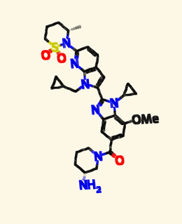 COc1cc(C(=O)N2CCC[C@@H](N)C2)cc2nc(-c3cc4ccc(N5[C@@H](C)CCCS5(=O)=O)nc4n3CC3CC3)n(C3CC3)c12